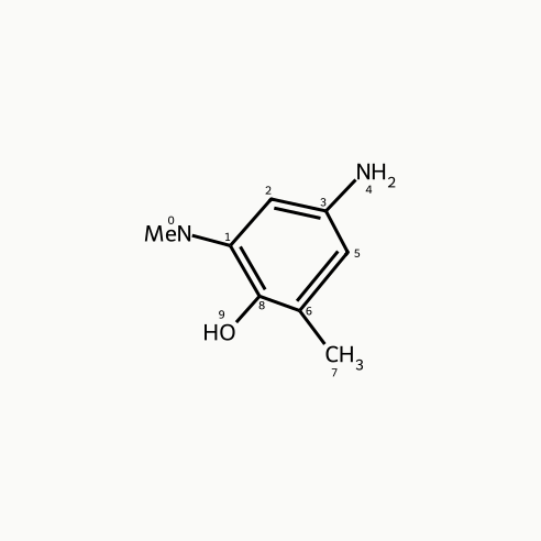 CNc1cc(N)cc(C)c1O